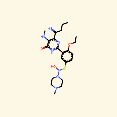 CCCC(=N)c1nc(-c2cc(SN(O)N3CCN(C)CC3)ccc2OCC)[nH]c(=O)c1NC